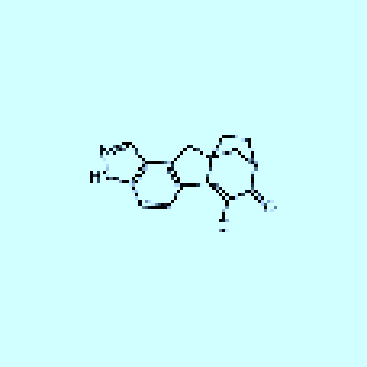 O=C1C(Cl)=C2c3ccc4[nH]ncc4c3CC23CCC1C3